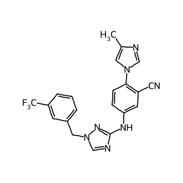 Cc1cn(-c2ccc(Nc3ncn(Cc4cccc(C(F)(F)F)c4)n3)cc2C#N)cn1